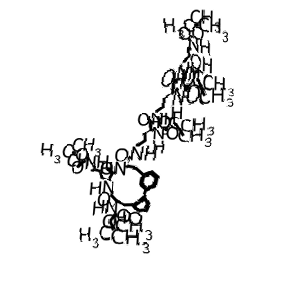 CC(C)(C)OC(=O)NCCC[C@@H]1NC(=O)[C@@H](NC(=O)OC(C)(C)C)Cc2cc(ccc2O)-c2cccc(c2)C[C@@H](C(=O)NCCC[C@H](NC(=O)OC(C)(C)C)C(=O)NCCC[C@H](NC(=O)OC(C)(C)C)C(=O)NCC(O)CNC(=O)OC(C)(C)C)NC1=O